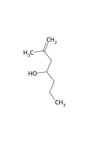 C=C(C)CC(O)CCC